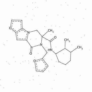 CC1CCCC(NC(=O)C2(C)Cn3c(cc4occc43)C(=O)N2Cc2ccco2)C1C